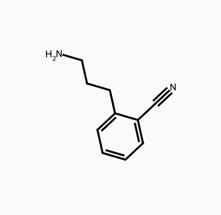 N#Cc1ccccc1CCCN